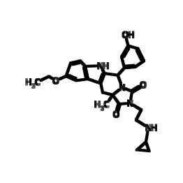 CCOc1ccc2[nH]c3c(c2c1)CC1(C)C(=O)N(CCNC2CC2)C(=O)N1C3c1cccc(O)c1